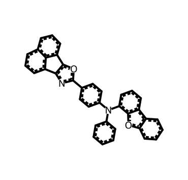 c1ccc(N(c2ccc(-c3nc4c(o3)-c3cccc5cccc-4c35)cc2)c2cccc3c2oc2ccccc23)cc1